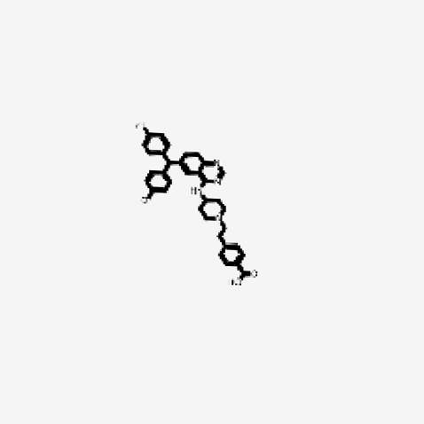 O=C(O)c1ccc(CCN2CCC(Nc3ncnc4ccc(C(c5ccc(Cl)cc5)c5ccc(Cl)cc5)cc34)CC2)cc1